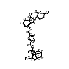 O=C1CCC(N2Cc3c(SCc4csc(COC(=O)C56CC7CC(CC(Br)(C7)C5)C6)n4)cccc3C2=O)C(=O)N1